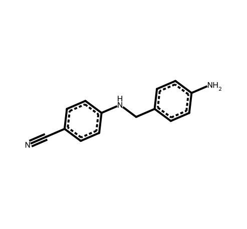 N#Cc1ccc(NCc2ccc(N)cc2)cc1